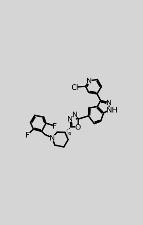 Fc1cccc(F)c1CN1CCC[C@@H](c2nnc(-c3ccc4[nH]nc(-c5ccnc(Cl)c5)c4c3)o2)C1